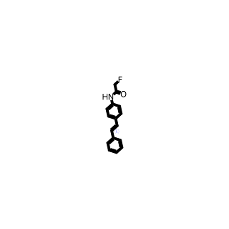 O=C(CF)Nc1ccc(/C=C/c2ccccc2)cc1